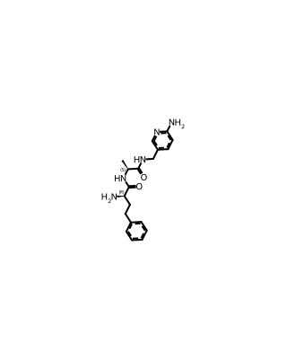 C[C@H](NC(=O)[C@H](N)CCc1ccccc1)C(=O)NCc1ccc(N)nc1